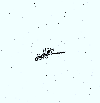 CCCCCCCCCCCCCCC(CC(=O)O)C(=O)Nc1ccc(OC(=O)c2ccccc2)cc1